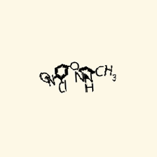 Cc1cc(Oc2ccc(N=O)c(Cl)c2)n[nH]1